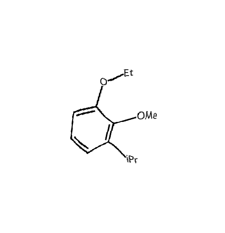 [CH2]C(C)c1cccc(OCC)c1OC